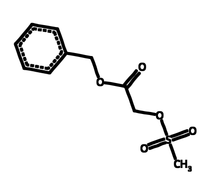 CS(=O)(=O)OCC(=O)OCc1ccccc1